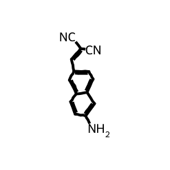 N#CC(C#N)=Cc1ccc2cc(N)ccc2c1